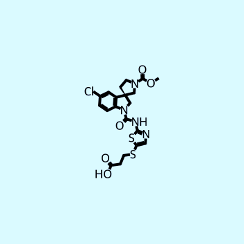 COC(=O)N1CC[C@@]2(C1)CN(C(=O)Nc1ncc(SCCC(=O)O)s1)c1ccc(Cl)cc12